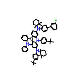 CC(C)(C)c1ccc(N2c3cc(N4c5ccc(-c6cccc(F)c6)cc5C5(C)CCCCC45C)ccc3B3c4ccccc4N(c4ccccc4)c4cc(N5c6ccc(C(C)(C)C)cc6C6(C)CCCCC56C)cc2c43)cc1